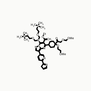 C=C(OCC)c1c(C2CCC(OCCOC)(C(=O)COCOC)CC2)nc2c(-c3ccc(C4=NC=CC4)nc3)cnn2c1N(COCC[Si](C)(C)C)COCC[Si](C)(C)C